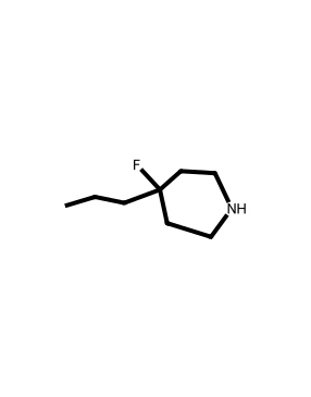 CCCC1(F)CCNCC1